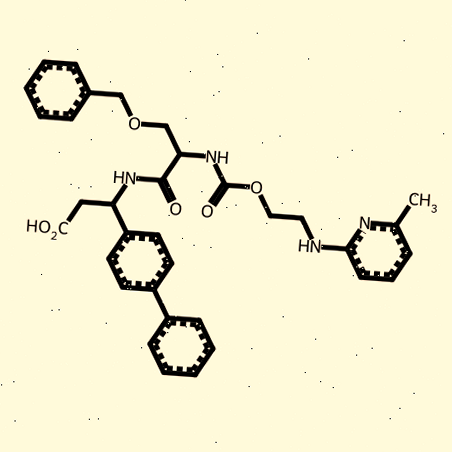 Cc1cccc(NCCOC(=O)NC(COCc2ccccc2)C(=O)NC(CC(=O)O)c2ccc(-c3ccccc3)cc2)n1